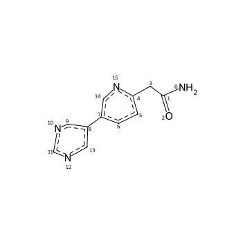 NC(=O)Cc1ccc(-c2cncnc2)cn1